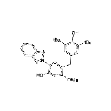 COc1cc(O)c(-n2nc3ccccc3n2)cc1Cc1cc(C(C)(C)C)c(O)c(C(C)(C)C)c1